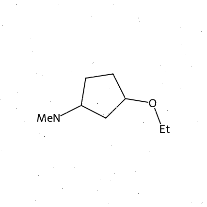 CCOC1CCC(NC)C1